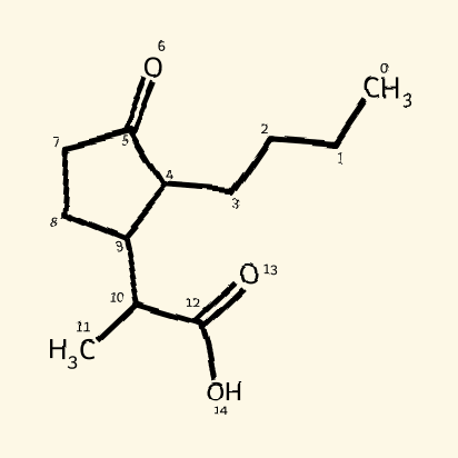 CCCCC1C(=O)CCC1C(C)C(=O)O